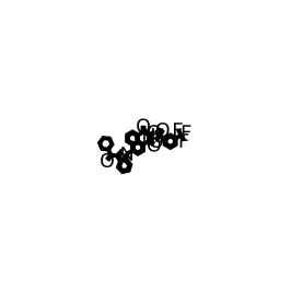 O=C(c1cn(-c2ccc3c4c(cccc24)C(=O)N(OS(=O)(=O)c2cccc(C(F)(F)F)c2)C3=O)c2ccccc12)C1CCCCC1